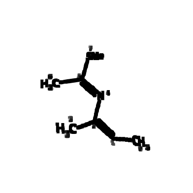 C/C=C(C)\N=C(/C)SC